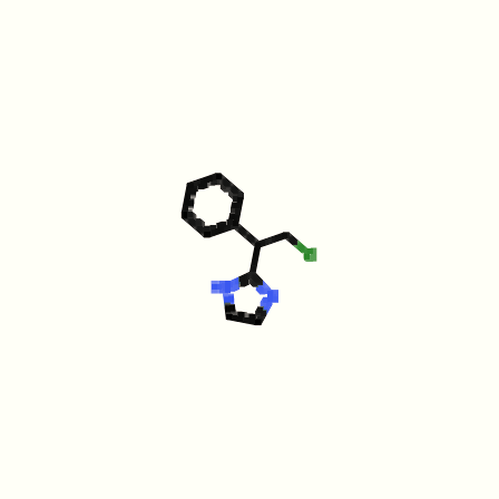 ClCC(c1ccccc1)c1ncc[nH]1